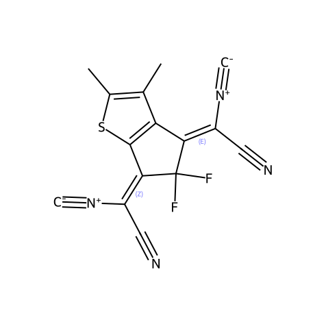 [C-]#[N+]/C(C#N)=C1\c2sc(C)c(C)c2/C(=C(/C#N)[N+]#[C-])C1(F)F